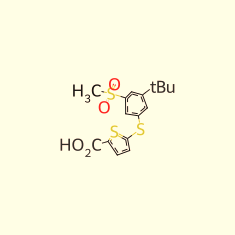 CC(C)(C)c1cc(Sc2ccc(C(=O)O)s2)cc(S(C)(=O)=O)c1